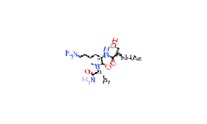 CC(=O)N[C@H](CO)C(=O)N[C@H](CCCCN)C(=O)N(C)[C@H](CC(C)C)C(N)=O